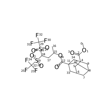 COC(=O)C12CC3CC(C1)CC(C(=O)OC(C)CC(S(=O)(=O)C(F)(F)F)S(=O)(=O)C(F)(F)F)(C3)C2